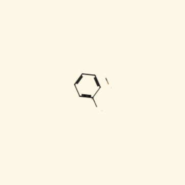 CBr.CC(C)(C)c1ccccc1